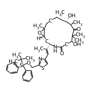 C/C(=C\c1csc(CO[Si](c2ccccc2)(c2ccccc2)C(C)(C)C)n1)[C@@H]1C[C@@H]2O[C@]2(C)CCC[C@H](C)[C@H](O)[C@@H](C)C(=O)C(C)(C)[C@@H](O)CC(=O)N1